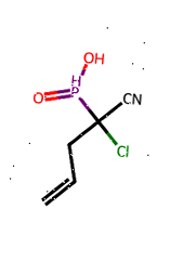 C=CCC(Cl)(C#N)[PH](=O)O